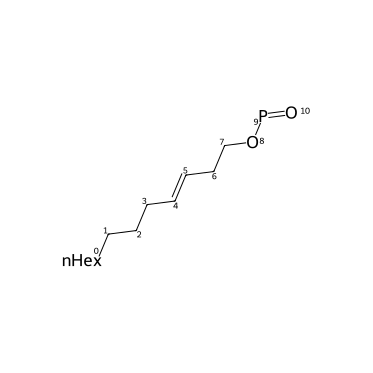 CCCCCCCCCC=CCCOP=O